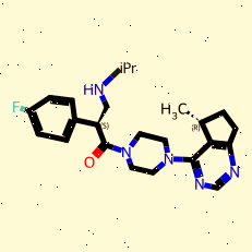 CC(C)NC[C@@H](C(=O)N1CCN(c2ncnc3c2[C@H](C)CC3)CC1)c1ccc(F)cc1